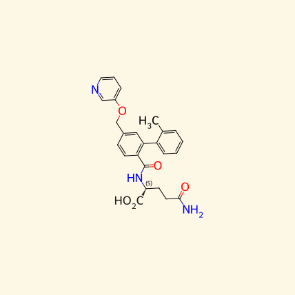 Cc1ccccc1-c1cc(COc2cccnc2)ccc1C(=O)N[C@@H](CCC(N)=O)C(=O)O